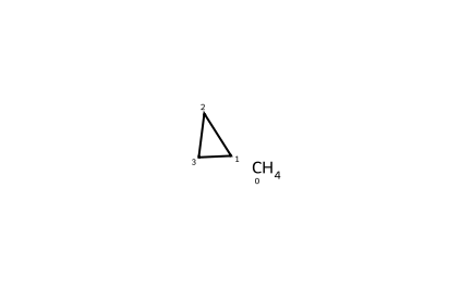 C.C1CC1